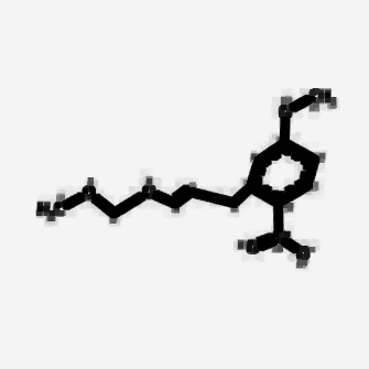 COCOC=CCc1cc(OC)ccc1[N+](=O)[O-]